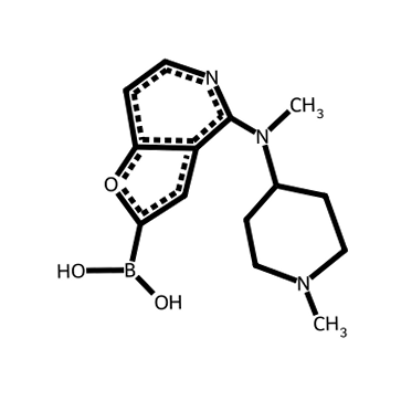 CN1CCC(N(C)c2nccc3oc(B(O)O)cc23)CC1